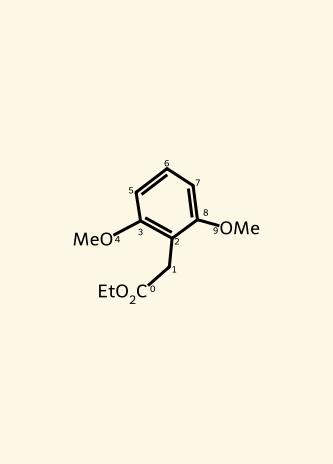 CCOC(=O)Cc1c(OC)cccc1OC